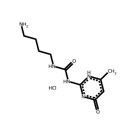 Cc1cc(=O)nc(NC(=O)NCCCCN)[nH]1.Cl